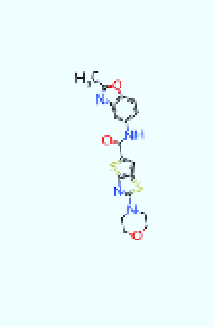 Cc1nc2cc(NC(=O)c3cc4sc(N5CCOCC5)nc4s3)ccc2o1